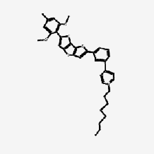 CCCCCCCC[n+]1ccc(-c2cccc(-c3cc4sc5cc(-c6c(OC)cc(C)cc6OC)sc5c4s3)c2)cc1